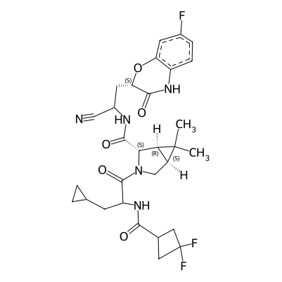 CC1(C)[C@@H]2[C@@H](C(=O)NC(C#N)C[C@@H]3Oc4cc(F)ccc4NC3=O)N(C(=O)C(CC3CC3)NC(=O)C3CC(F)(F)C3)C[C@@H]21